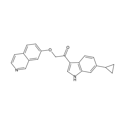 O=C(COc1ccc2ccncc2c1)c1c[nH]c2cc(C3CC3)ccc12